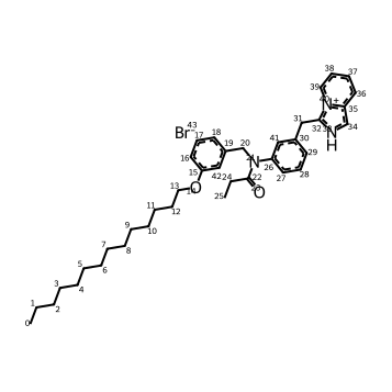 CCCCCCCCCCCCCCOc1cccc(CN(C(=O)CC)c2cccc(Cc3[nH]cc4cccc[n+]34)c2)c1.[Br-]